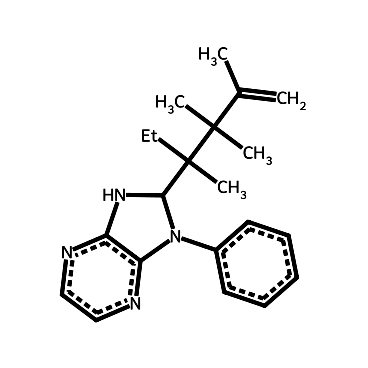 C=C(C)C(C)(C)C(C)(CC)C1Nc2nccnc2N1c1ccccc1